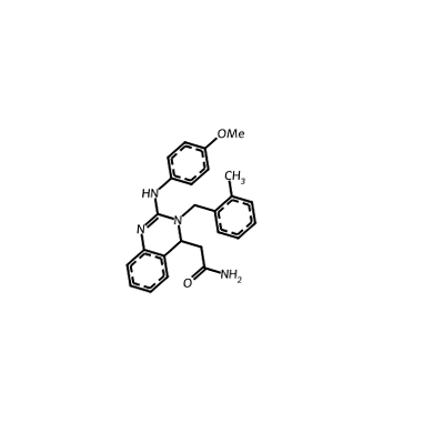 COc1ccc(NC2=Nc3ccccc3C(CC(N)=O)N2Cc2ccccc2C)cc1